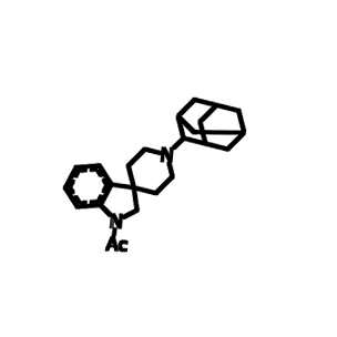 CC(=O)N1CC2(CCN(C3C4CC5CC(C4)CC3C5)CC2)c2ccccc21